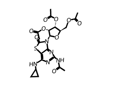 CC(=O)Nc1nc(NC2CC2)c2sc(=O)n([C@@H]3O[C@H](COC(C)=O)[C@@H](OC(C)=O)[C@H]3OC(C)=O)c2n1